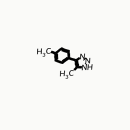 Cc1ccc(-c2nn[nH]c2C)cc1